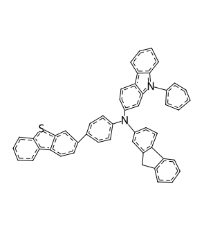 c1ccc(-n2c3ccccc3c3ccc(N(c4ccc(-c5ccc6c(c5)sc5ccccc56)cc4)c4ccc5c(c4)Cc4ccccc4-5)cc32)cc1